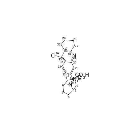 O=C(O)N1CC2CCC(C1)N2C(=O)c1ccc2c(Cl)c3c(nc2c1)CCCC3